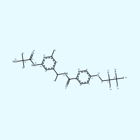 Cc1cc(C(C)NC(=O)c2ccc(OCC(F)(F)C(F)(F)F)cn2)cc(NC(=O)C(C)(C)O)n1